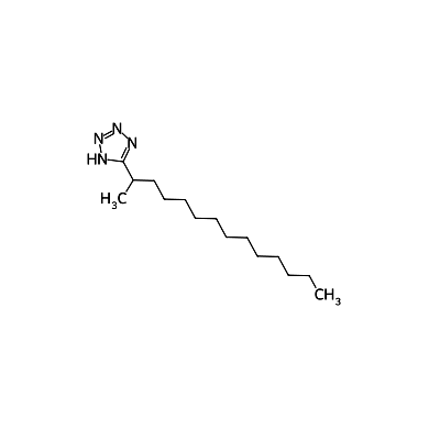 CCCCCCCCCCCCC(C)c1nnn[nH]1